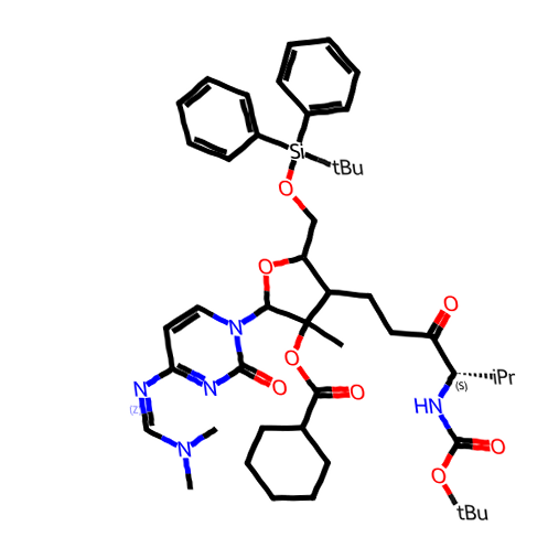 CC(C)[C@H](NC(=O)OC(C)(C)C)C(=O)CCC1C(CO[Si](c2ccccc2)(c2ccccc2)C(C)(C)C)OC(n2ccc(/N=C\N(C)C)nc2=O)C1(C)OC(=O)C1CCCCC1